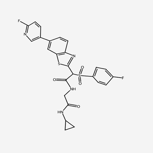 O=C(CNC(=O)C(c1nc2ccc(-c3ccc(F)nc3)cc2s1)S(=O)(=O)c1ccc(F)cc1)NC1CC1